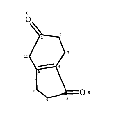 O=C1CCC2=C(CCC2=O)C1